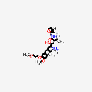 COCCCOc1cc(C[C@@H](C[C@H](N)[C@@H](O)C[C@H](C(=O)NC[C@]23C[C@H]2CCO3)C(C)C)C(C)C)ccc1OC